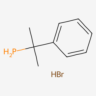 Br.CC(C)(P)c1ccccc1